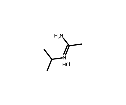 CC(N)=NC(C)C.Cl